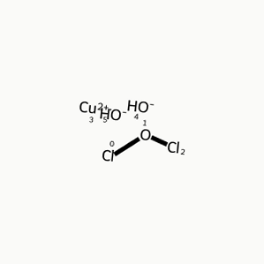 ClOCl.[Cu+2].[OH-].[OH-]